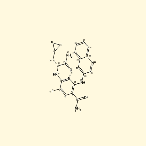 NC(=O)c1cc(F)c(N[C@H](CC2CC2)C(N)=O)nc1Nc1cnc2ccccc2c1